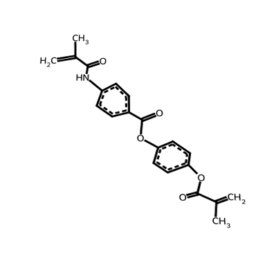 C=C(C)C(=O)Nc1ccc(C(=O)Oc2ccc(OC(=O)C(=C)C)cc2)cc1